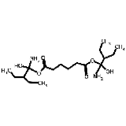 CCC(CC)C(N)(O)OC(=O)CCCCC(=O)OC(N)(O)C(CC)CC